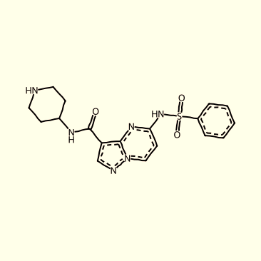 O=C(NC1CCNCC1)c1cnn2ccc(NS(=O)(=O)c3ccccc3)nc12